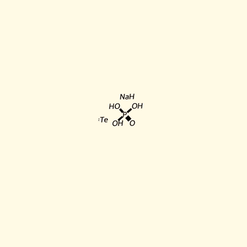 O=P(O)(O)O.[NaH].[Te]